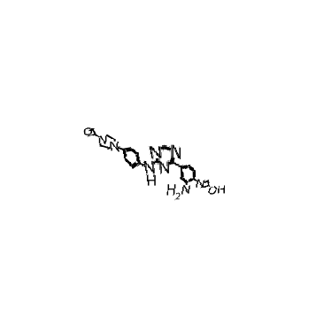 Nc1cc(-c2ncnc(Nc3ccc(N4CCN(C5COC5)CC4)cc3)n2)ccc1N1CC(O)C1